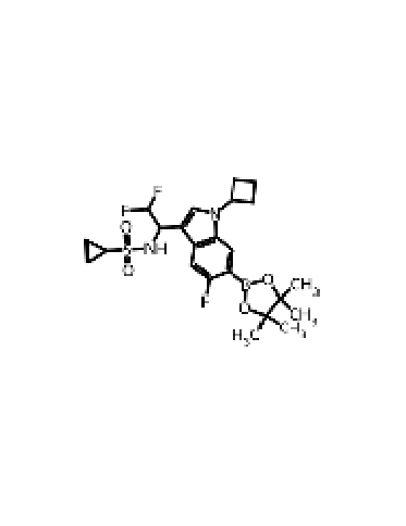 CC1(C)OB(c2cc3c(cc2F)c(C(NS(=O)(=O)C2CC2)C(F)F)cn3C2CCC2)OC1(C)C